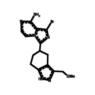 COCc1n[nH]c2c1CC(c1nc(Br)c3c(N)nccn13)CC2